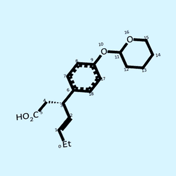 CCC=C[C@H](CC(=O)O)c1ccc(OC2CCCCO2)cc1